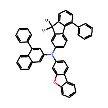 CC1(C)c2cc(N(c3cc(-c4ccccc4)c4ccccc4c3)c3ccc4c(c3)oc3ccccc34)ccc2-c2c(-c3ccccc3)cccc21